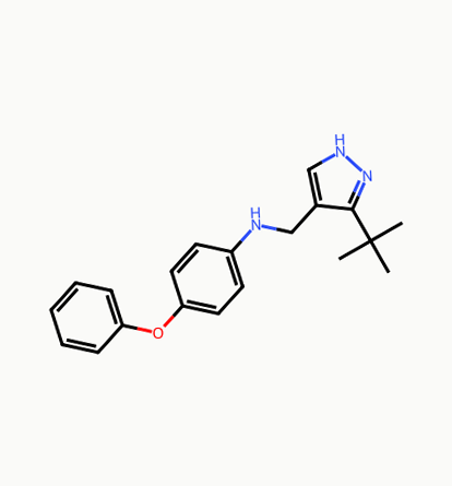 CC(C)(C)c1n[nH]cc1CNc1ccc(Oc2ccccc2)cc1